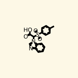 Cc1ccc(S(=O)(=O)C(C(=O)O)n2cnc3ccccc32)cc1